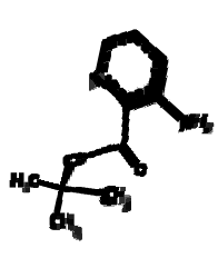 CC(C)(C)OC(=O)c1ncccc1N